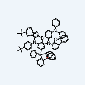 CC(C)(C)c1ccc(N2c3cc([Si](c4ccccc4)(c4ccccc4)c4ccccc4-c4ccccc4)cc4c3B(c3ccc(N(c5ccccc5)c5ccccc5)cc3N4c3cccc4c3oc3ccccc34)c3sc4ccc(C(C)(C)C)cc4c32)cc1